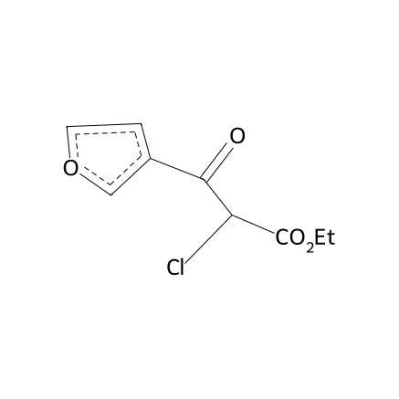 CCOC(=O)C(Cl)C(=O)c1ccoc1